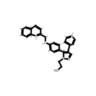 OCCn1ncc(-c2ccncc2)c1-c1ccc(OCc2ccc3ccccc3n2)cc1